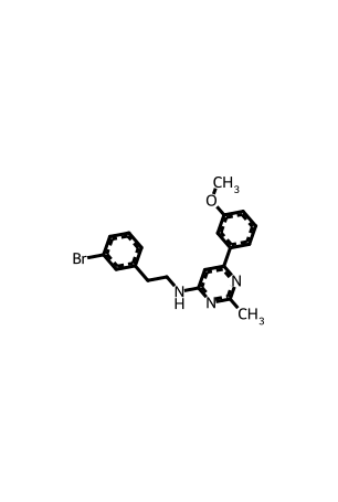 COc1cccc(-c2cc(NCCc3cccc(Br)c3)nc(C)n2)c1